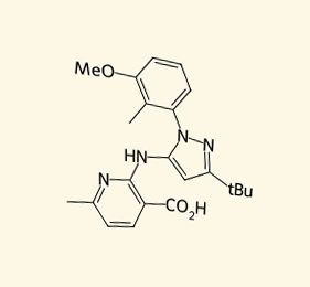 COc1cccc(-n2nc(C(C)(C)C)cc2Nc2nc(C)ccc2C(=O)O)c1C